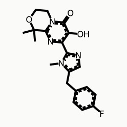 Cn1c(Cc2ccc(F)cc2)cnc1-c1nc2n(c(=O)c1O)CCOC2(C)C